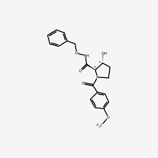 O=C(NOCc1ccccc1)[C@H]1[C@H](O)CCN1C(=O)c1ccc(OC(F)(F)F)cc1